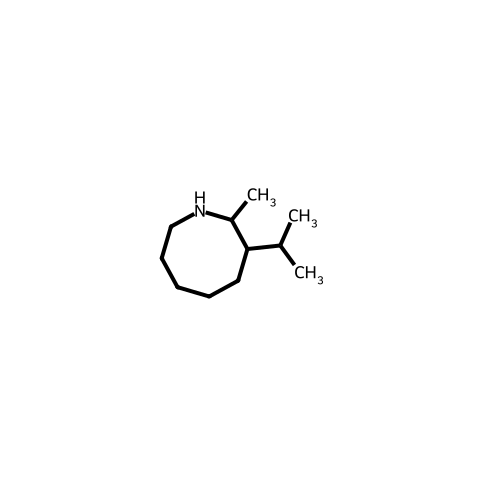 CC(C)C1CCCCCNC1C